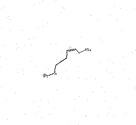 CC(C)SCC/C=C\CC(C)(C)C